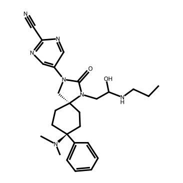 CCCNC(O)CN1C(=O)N(c2cnc(C#N)nc2)C[C@]12CC[C@](c1ccccc1)(N(C)C)CC2